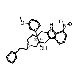 COc1cccc([C@@]23CCN(CCc4ccccc4)C[C@@]2(O)Cc2c([nH]c4c([N+](=O)[O-])cccc24)C3)c1